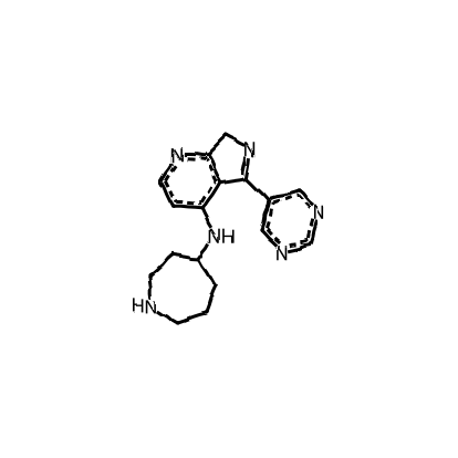 c1ncc(C2=NCc3nccc(NC4CCCNCC4)c32)cn1